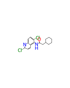 O=C(CC1CCCCC1)Nc1c(Cl)ccc2nc(Cl)ccc12